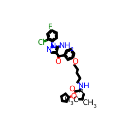 CC(C)C[C@H](NCCCCCOc1cccc(C(=O)c2cnn(-c3ccc(F)cc3Cl)c2N)c1)C(=O)OC1CCCC1